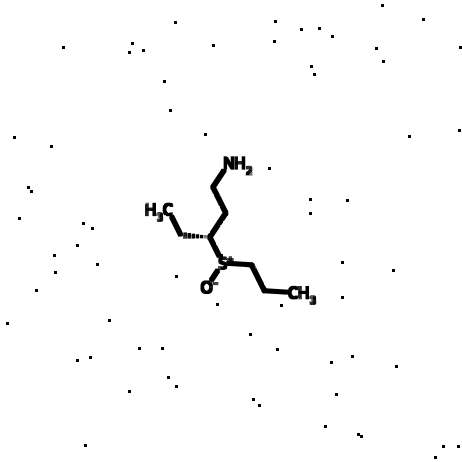 CCC[S+]([O-])[C@H](CC)CCN